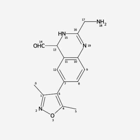 Cc1noc(C)c1-c1ccc2c(c1)C(C=O)NC(CN)=N2